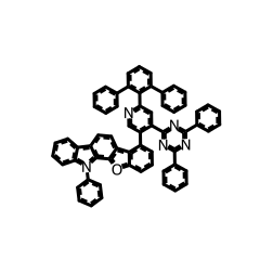 c1ccc(-c2nc(-c3ccccc3)nc(-c3cc(-c4c(-c5ccccc5)cccc4-c4ccccc4)ncc3-c3cccc4oc5c(ccc6c7ccccc7n(-c7ccccc7)c65)c34)n2)cc1